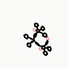 O=C1C(c2ccccc2)=C(c2ccccc2)C2=C1c1ccc(cc1)C(C#Cc1ccccc1)(C#Cc1ccccc1)c1ccc(cc1)C1=C(C(c3ccccc3)=C(c3ccccc3)C1=O)c1ccc(cc1)Oc1ccc2cc1